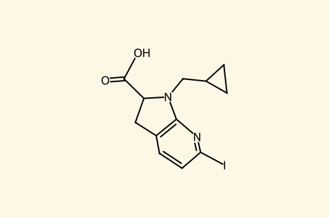 O=C(O)C1Cc2ccc(I)nc2N1CC1CC1